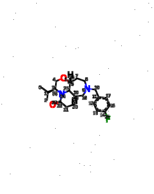 CC(C)[C@H]1CO[C@@H]2CCN(Cc3ccc(F)cc3)C[C@H]3CCC(=O)N1C32